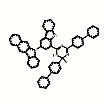 CC1(c2ccc(-c3ccccc3)cc2)N=C(c2ccc(-c3ccccc3)cc2)N=C(c2cc(-n3c4ccccc4c4cc5ccccc5cc43)cc3c2oc2ccccc23)N1